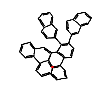 c1ccc(-c2ccc(-c3ccc4ccccc4c3)c(-c3ccc4ccccc4c3)c2-c2cc3ccccc3c3ccccc23)cc1